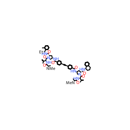 C=C(C)[C@H](NC(=O)[C@H](C)NC)C(=O)N1C[C@@H](NC(=O)c2ccc(C#Cc3ccc(C(=O)N[C@H]4C[C@@H](C(=O)N[C@@H]5CCCc6ccccc65)N(C(=O)[C@@H](NC(=O)[C@H](C)NC)C(=C)C)C4)cc3)cc2)C[C@H]1C(=O)N[C@H](CC)c1ccccc1C